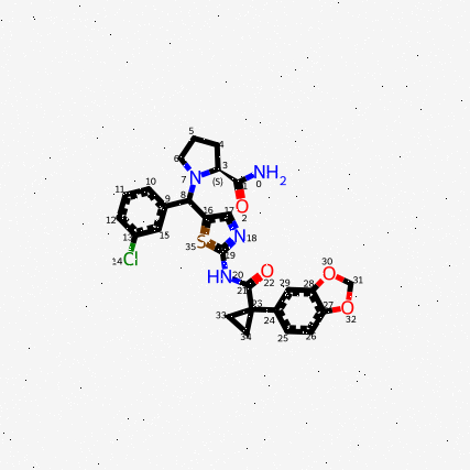 NC(=O)[C@@H]1CCCN1C(c1cccc(Cl)c1)c1cnc(NC(=O)C2(c3ccc4c(c3)OCO4)CC2)s1